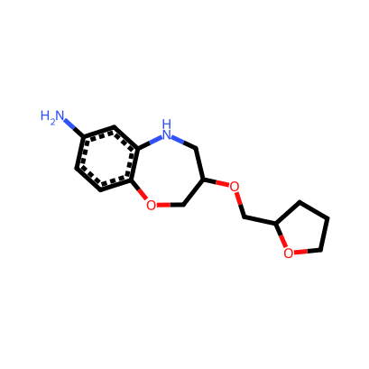 Nc1ccc2c(c1)NCC(OCC1CCCO1)CO2